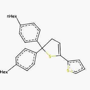 CCCCCCc1ccc(C2(c3ccc(CCCCCC)cc3)CC=C(c3cccs3)S2)cc1